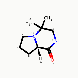 CC1(C)CNC(=O)[C@@H]2CCCN21